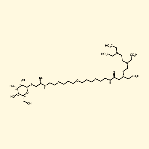 N=C(CSC1O[C@H](CO)[C@@H](O)[C@H](O)[C@@H]1O)NCCSCCCOCCCSCCNC(=O)CN(CCN(CCN(CC(=O)O)CC(=O)O)CC(=O)O)CC(=O)O